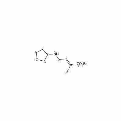 CCOC(=O)/C(F)=C/CN[C@H]1CCOC1